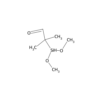 CO[SiH](OC)C(C)(C)C=O